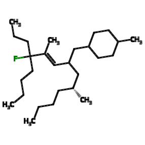 CCCC[C@@H](C)CC(/C=C(\C)C(F)(CCC)CCCC)CC1CCC(C)CC1